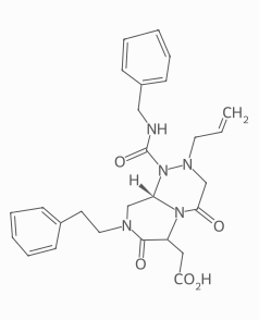 C=CCN1CC(=O)N2C(CC(=O)O)C(=O)N(CCc3ccccc3)C[C@@H]2N1C(=O)NCc1ccccc1